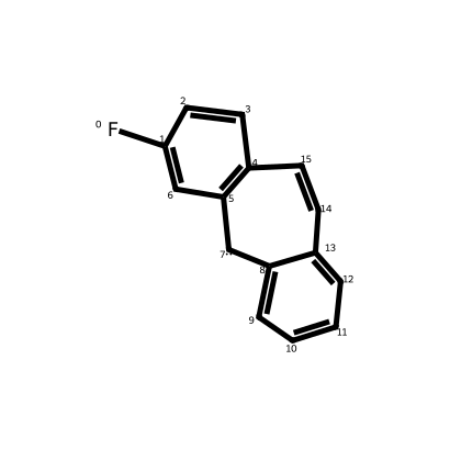 Fc1ccc2c(c1)[C]c1ccccc1C=C2